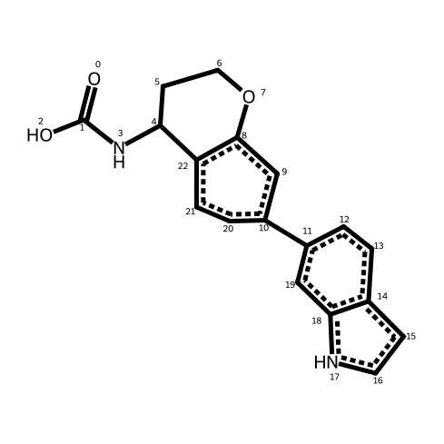 O=C(O)NC1CCOc2cc(-c3ccc4cc[nH]c4c3)ccc21